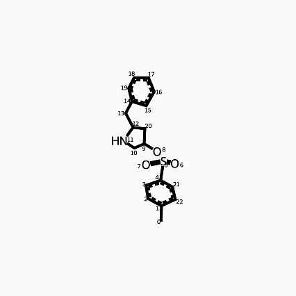 Cc1ccc(S(=O)(=O)OC2CNC(Cc3ccccc3)C2)cc1